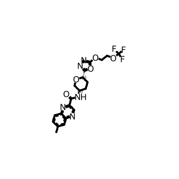 Cc1ccc2nc(C(=O)N[C@@H]3CC[C@@H](c4nnc(OCCOC(F)(F)F)o4)OC3)cnc2c1